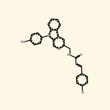 O=C(/C=C/c1ccc(Cl)cc1)NCc1cc2c3ccccc3n(-c3ccc(O)cc3)c2cn1